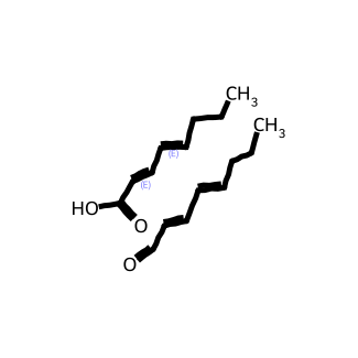 CCC/C=C/C=C/C(=O)O.CCCC=CC=CC=O